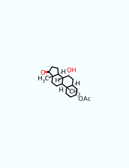 CC(=O)O[C@@H]1CC[C@@]2(C)[C@H](C1)C[C@@H](O)[C@@H]1[C@@H]2CC[C@]2(C)C(=O)CC[C@@H]12